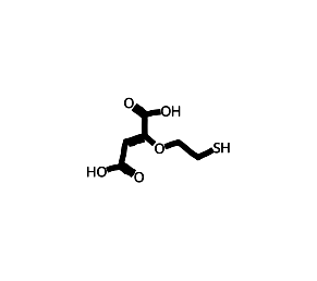 O=C(O)/C=C(\OCCS)C(=O)O